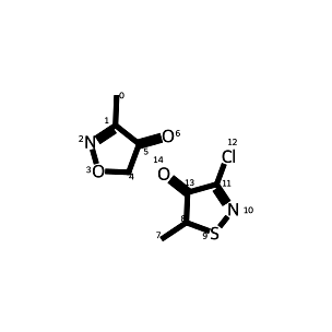 CC1=NOCC1=O.CC1SN=C(Cl)C1=O